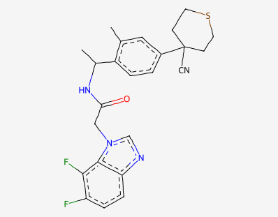 Cc1cc(C2(C#N)CCSCC2)ccc1C(C)NC(=O)Cn1cnc2ccc(F)c(F)c21